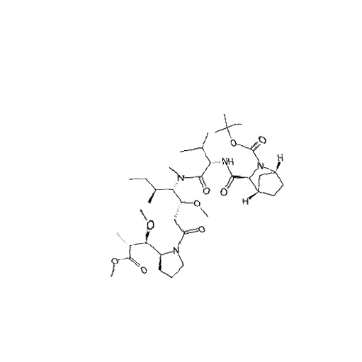 CC[C@H](C)[C@@H]([C@@H](CC(=O)N1CCC[C@H]1[C@H](OC)[C@@H](C)C(=O)OC)OC)N(C)C(=O)[C@@H](NC(=O)[C@@H]1[C@H]2CC[C@H](C2)N1C(=O)OC(C)(C)C)C(C)C